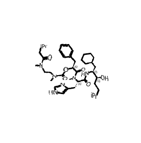 CC(C)CC[C@H](O)[C@H](CC1CCCCC1)NC(=O)[C@H](Cc1c[nH]cn1)N(C)C(=O)[C@H](Cc1ccccc1)OC(=O)N(C)CCN(C)C(=O)CC(C)C